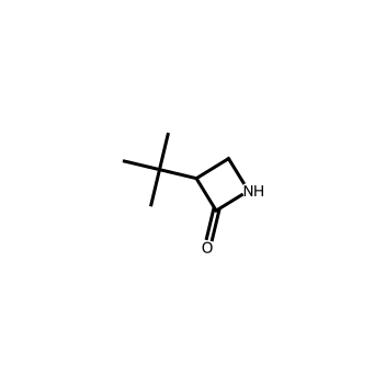 CC(C)(C)C1CNC1=O